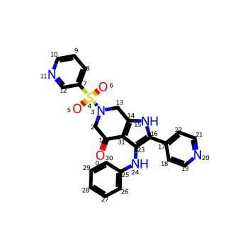 O=C1CN(S(=O)(=O)c2cccnc2)Cc2[nH]c(-c3ccncc3)c(Nc3ccccc3)c21